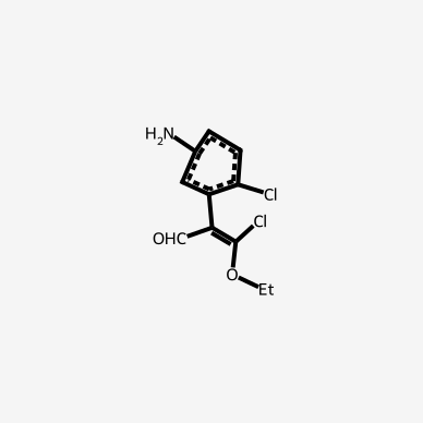 CCOC(Cl)=C(C=O)c1cc(N)ccc1Cl